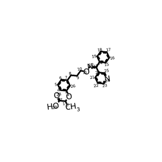 CC(Oc1cccc(CCCON=C(c2ccccc2)c2cccnc2)c1)C(=O)O